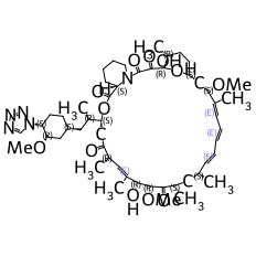 CO[C@H]1C[C@@H]2CC[C@@H](C)[C@@](O)(O2)C(=O)C(=O)N2CCCC[C@H]2C(=O)O[C@H]([C@H](C)C[C@@H]2CC[C@H](n3cnnn3)[C@H](OC)C2)CC(=O)[C@H](C)/C=C(\C)[C@@H](O)[C@@H](OC)C(=O)[C@@H](C)C[C@H](C)/C=C/C=C/C=C/1C